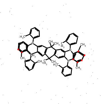 Cc1ccccc1N(c1ccccc1C)c1cc2c(cc1N(c1ccccc1C)c1ccccc1C)C(C)(C)c1cc(N(c3ccccc3C)c3ccccc3C)c(N(c3ccccc3C)c3ccccc3C)cc1C2(C)C